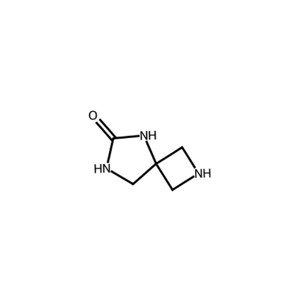 O=C1NCC2(CNC2)N1